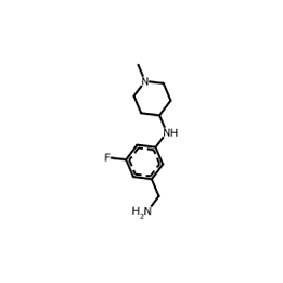 CN1CCC(Nc2cc(F)cc(CN)c2)CC1